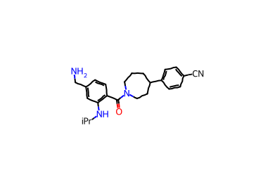 CC(C)Nc1cc(CN)ccc1C(=O)N1CCCC(c2ccc(C#N)cc2)CC1